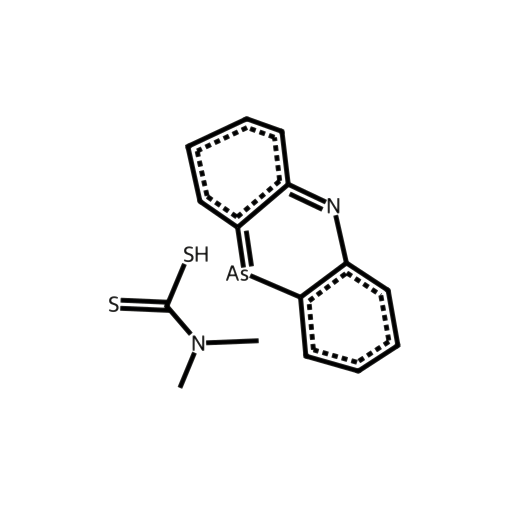 CN(C)C(=S)S.c1ccc2c(c1)N=c1ccccc1=[As]2